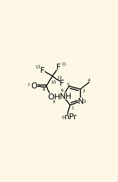 CCCc1nc(C)c[nH]1.O=C(O)C(F)(F)F